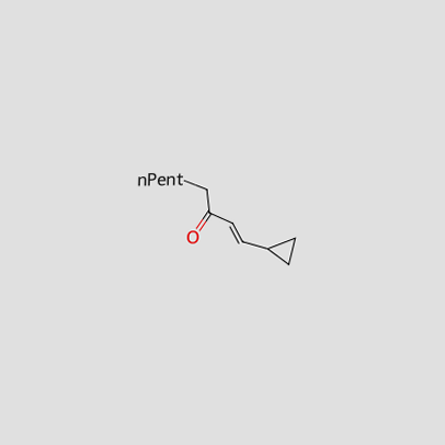 CCCCCCC(=O)C=CC1CC1